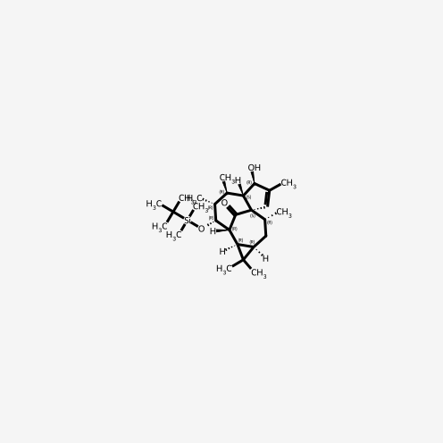 CC1=C[C@]23C(=O)[C@@H]([C@H](O[Si](C)(C)C(C)(C)C)[C@H](C)[C@@H](C)[C@@H]2[C@H]1O)[C@H]1[C@@H](C[C@H]3C)C1(C)C